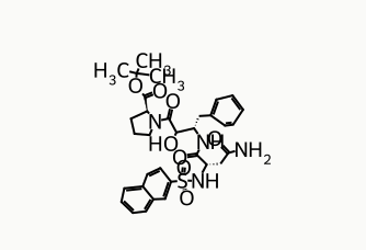 CC(C)(C)OC(=O)[C@@H]1CCCN1C(=O)C(O)[C@H](Cc1ccccc1)NC(=O)[C@H](CC(N)=O)NS(=O)(=O)c1ccc2ccccc2c1